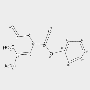 C=CCC(C=C(NC(C)=O)C(=O)O)C(=O)Oc1ccccc1